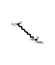 CC(C)(C)OC(=O)NCCCCCCCCCCC(N)=O